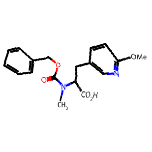 COc1ccc(CC(C(=O)O)N(C)C(=O)OCc2ccccc2)cn1